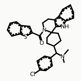 CN(C)C(c1ccc(Cl)cc1)C1CCC2(CC1)c1[nH]c3ccccc3c1CCN2C(=O)c1cc2ccccc2s1